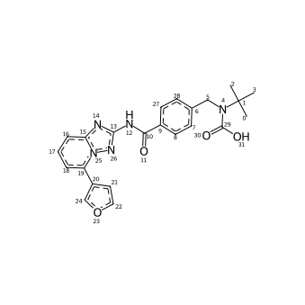 CC(C)(C)N(Cc1ccc(C(=O)Nc2nc3cccc(-c4ccoc4)n3n2)cc1)C(=O)O